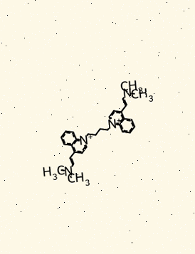 CN(C)C=Cc1cc[n+](CCCC[n+]2ccc(C=CN(C)C)c3ccccc32)c2ccccc12